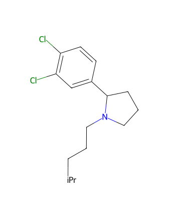 CC(C)CCCN1CCCC1c1ccc(Cl)c(Cl)c1